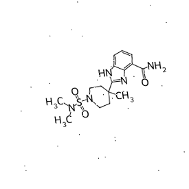 CN(C)S(=O)(=O)N1CCC(C)(c2nc3c(C(N)=O)cccc3[nH]2)CC1